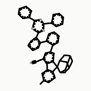 Cc1ccc2c(c1)-c1c(C#N)cc(-c3ccccc3-c3ccccc3-c3nc(-c4ccccc4)nc(-c4ccccc4)n3)cc1C21C2CC3CC(C2)CC1C3